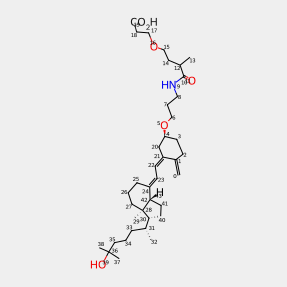 C=C1CC[C@H](OCCCNC(=O)C(C)CCOCCC(=O)O)C/C1=C/C=C1\CCC[C@]2(C)[C@@H]([C@H](C)CCCC(C)(C)O)CC[C@@H]12